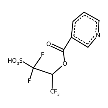 O=C(OC(C(F)(F)F)C(F)(F)S(=O)(=O)O)c1cccnc1